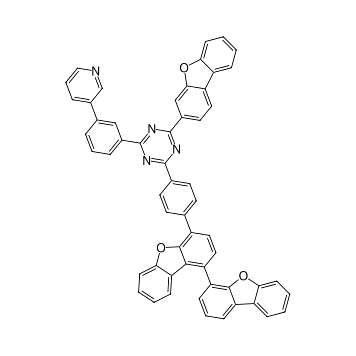 c1cncc(-c2cccc(-c3nc(-c4ccc(-c5ccc(-c6cccc7c6oc6ccccc67)c6c5oc5ccccc56)cc4)nc(-c4ccc5c(c4)oc4ccccc45)n3)c2)c1